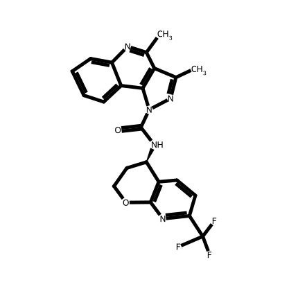 Cc1nc2ccccc2c2c1c(C)nn2C(=O)N[C@@H]1CCOc2nc(C(F)(F)F)ccc21